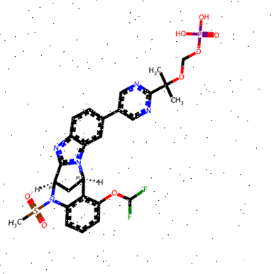 CC(C)(OCOP(=O)(O)O)c1ncc(-c2ccc3nc4n(c3c2)[C@@H]2C[C@H]4N(S(C)(=O)=O)c3cccc(OC(F)F)c32)cn1